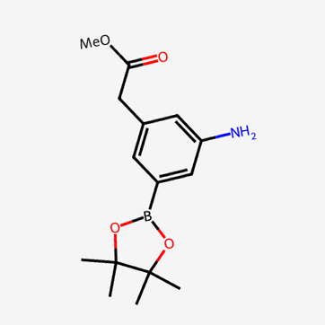 COC(=O)Cc1cc(N)cc(B2OC(C)(C)C(C)(C)O2)c1